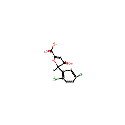 CC1(c2cc(Cl)ccc2Cl)OC(C(=O)O)=CC1=O